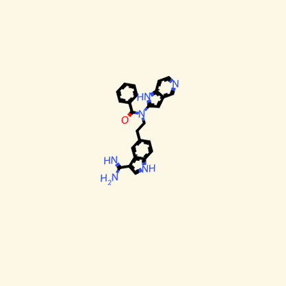 N=C(N)c1c[nH]c2ccc(CCN(C(=O)c3ccccc3)c3cc4cnccc4[nH]3)cc12